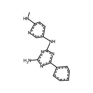 CNc1ccc(Nc2nc(N)nc(-c3ccccc3)n2)cn1